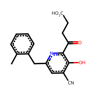 Cc1ccccc1Cc1cc(C#N)c(O)c(C(=O)CCC(=O)O)n1